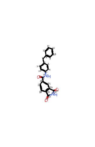 O=C(Nc1ccc(Cc2ccccc2)cc1)c1ccc2c(c1)C(=O)NC2=O